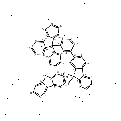 CC1(C)c2ccccc2-c2ccc(-c3cccc(C4(c5ccc(-c6cccc7c6sc6ccccc67)cc5)c5ccccc5-c5ccccc54)c3)cc21